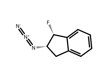 [N-]=[N+]=N[C@H]1Cc2ccccc2[C@H]1F